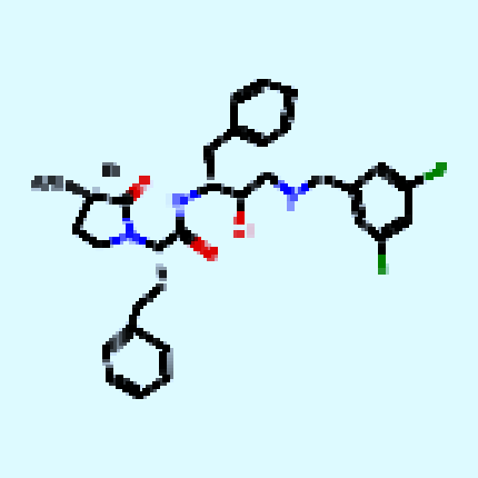 CC[C@@H](C)[C@@]1(NC(C)=O)CCN([C@@H](CCc2ccccc2)C(=O)N[C@@H](Cc2ccccc2)[C@H](O)CNCc2cc(F)cc(F)c2)C1=O